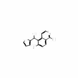 OC(c1cccs1)c1c(F)ccc2c(Cl)nccc12